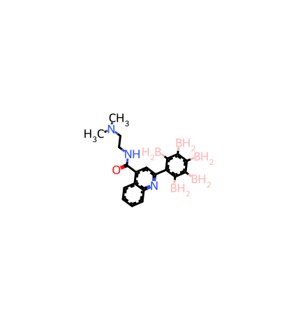 Bc1c(B)c(B)c(-c2cc(C(=O)NCCN(C)C)c3ccccc3n2)c(B)c1B